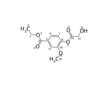 CCOC(=O)c1ccc(OC(=O)CO)c(OC)c1